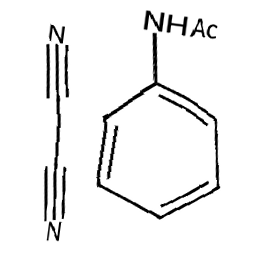 CC(=O)Nc1ccccc1.N#CC#N